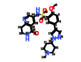 COc1ccc(-c2cnn(C3CCN(C)CC3)c2)cc1S(=O)(=O)Nc1cnc2c(c1)C(=O)NCC2